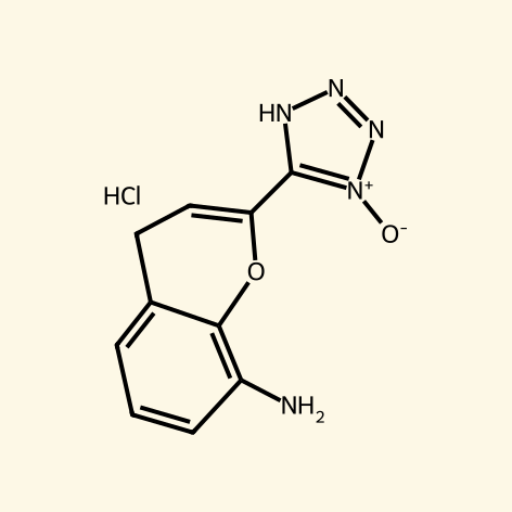 Cl.Nc1cccc2c1OC(c1[nH]nn[n+]1[O-])=CC2